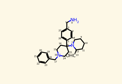 NCc1ccc(C2(N3CCCCC3C=O)CCN(Cc3ccccc3)CC2)cc1